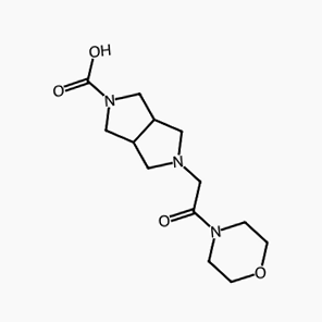 O=C(O)N1CC2CN(CC(=O)N3CCOCC3)CC2C1